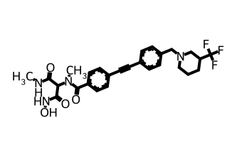 CNC(=O)C(C(=O)NO)N(C)C(=O)c1ccc(C#Cc2ccc(CN3CCCC(C(F)(F)F)C3)cc2)cc1